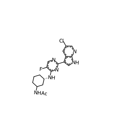 CC(=O)NC1CCC[C@H](Nc2nc(-c3c[nH]c4ncc(Cl)cc34)ncc2F)C1